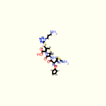 NCCCn1nnnc1SCC1=C(C(=O)O)N2C(=O)C(NC(=O)/C(=N/OC3CCCC3)c3csc(N)n3)[C@H]2SC1